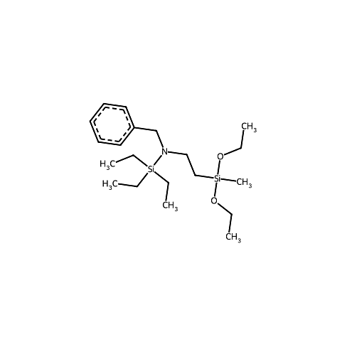 CCO[Si](C)(CCN(Cc1ccccc1)[Si](CC)(CC)CC)OCC